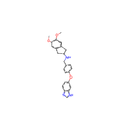 COc1cc2c(cc1OC)CC(NCc1ccc(Oc3ccc4nc[nH]c4c3)cc1)C2